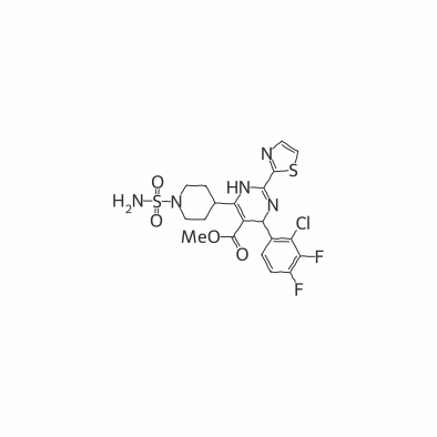 COC(=O)C1=C(C2CCN(S(N)(=O)=O)CC2)NC(c2nccs2)=NC1c1ccc(F)c(F)c1Cl